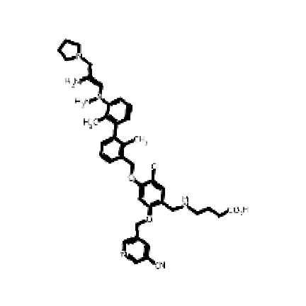 Cc1c(COc2cc(OCc3cncc(C#N)c3)c(CNCCCC(=O)O)cc2Cl)cccc1-c1cccc(N(N)/C=C(\N)CN2CCCC2)c1C